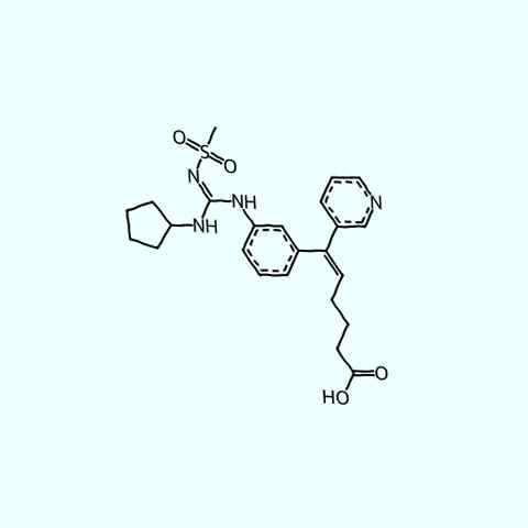 CS(=O)(=O)/N=C(\Nc1cccc(/C(=C\CCCC(=O)O)c2cccnc2)c1)NC1CCCC1